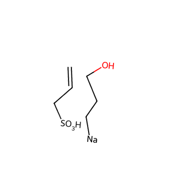 C=CCS(=O)(=O)O.OCC[CH2][Na]